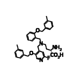 Cc1cccc(COc2ccccc2CN(CC[C@H](N)C(=O)O)Cc2cc(F)ncc2OCc2cccc(C)c2)c1